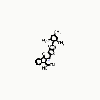 Cc1cc(C)c(-c2nc3sc(/C=C4\C(=O)c5ccccc5C4=C(C#N)C#N)cc3o2)c(C)c1